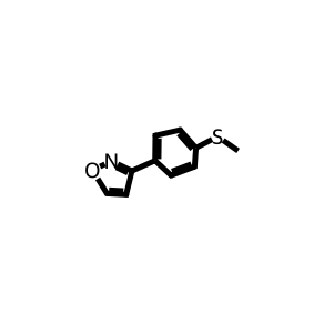 CSc1ccc(-c2ccon2)cc1